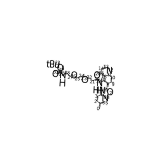 Cc1ccc(NC(=O)c2ccc3ncccc3c2NC(=O)CCOCCOCCNC(=O)OC(C)(C)C)nc1